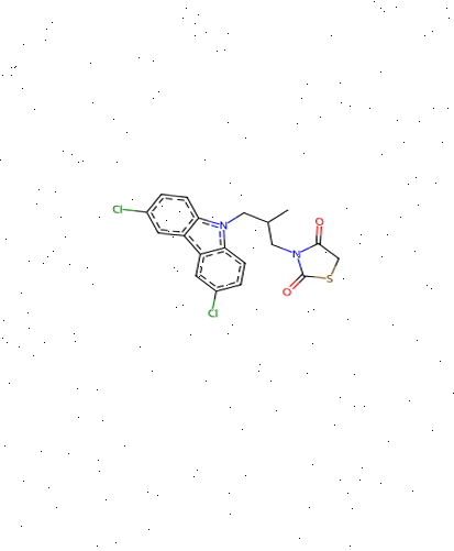 CC(CN1C(=O)CSC1=O)Cn1c2ccc(Cl)cc2c2cc(Cl)ccc21